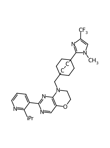 CC(C)c1ncccc1-c1ncc2c(n1)N(CC13CCC(c4nc(C(F)(F)F)cn4C)(CC1)CC3)CCO2